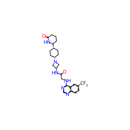 O=C(CNc1ncnc2ccc(C(F)(F)F)cc12)NC1CN([C@H]2CC[C@H](C3CCCC(=O)N3)CC2)C1